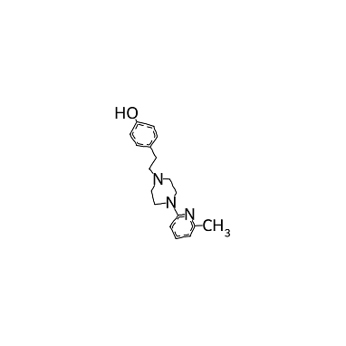 Cc1cccc(N2CCN(CCc3ccc(O)cc3)CC2)n1